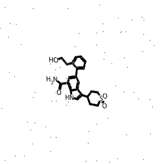 NC(=O)c1cc(-c2ccccc2CCO)cc2c(C3CCS(=O)(=O)CC3)c[nH]c12